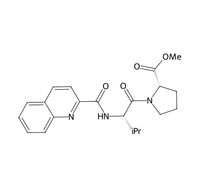 COC(=O)[C@@H]1CCCN1C(=O)[C@@H](NC(=O)c1ccc2ccccc2n1)C(C)C